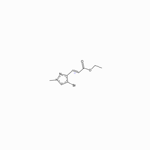 CCOC(=O)/C=C/c1nn(C)cc1Br